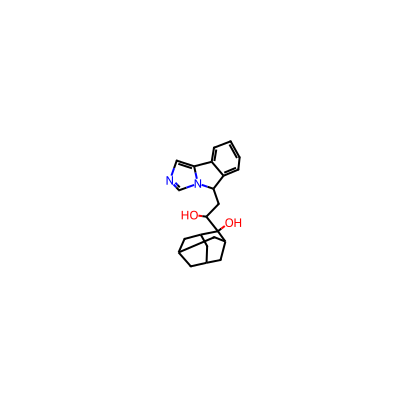 OC(CC1c2ccccc2-c2cncn21)C1(O)C2CC3CC(C2)CC1C3